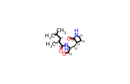 CC(C)C[C@H](C)C(=O)N[C@H](C=O)C[C@@H]1CCNC1=O